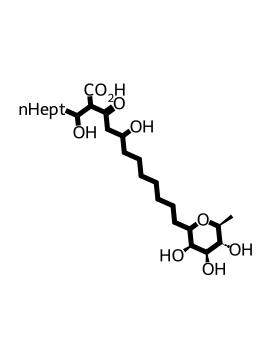 CCCCCCCC(O)C(C(=O)O)C(=O)CC(O)CCCCCCCC1O[C@@H](C)[C@H](O)[C@@H](O)[C@H]1O